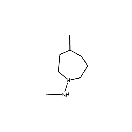 CNN1CCCC(C)CC1